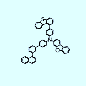 c1cc(-c2ccc(N(c3ccc(-c4cccc5sc6ccccc6c45)cc3)c3ccc4c(c3)oc3ccccc34)cc2)cc(-c2cccc3ccccc23)c1